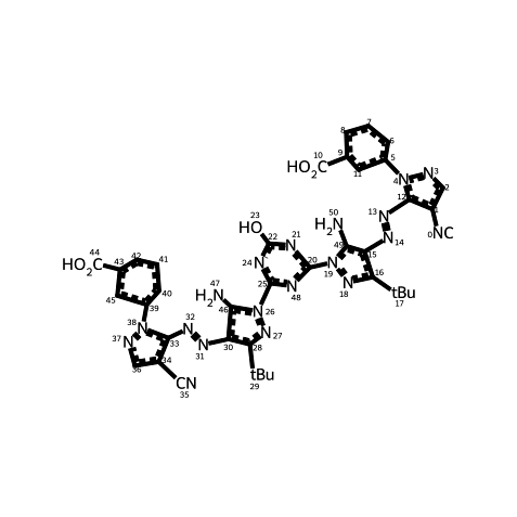 [C-]#[N+]c1cnn(-c2cccc(C(=O)O)c2)c1N=Nc1c(C(C)(C)C)nn(-c2nc(O)nc(-n3nc(C(C)(C)C)c(N=Nc4c(C#N)cnn4-c4cccc(C(=O)O)c4)c3N)n2)c1N